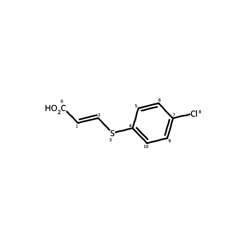 O=C(O)C=CSc1ccc(Cl)cc1